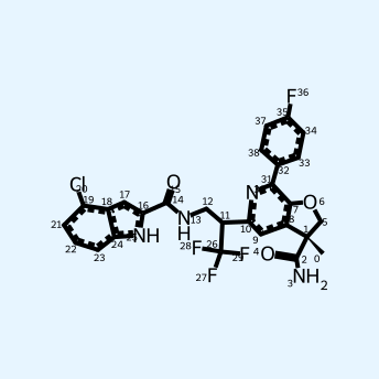 C[C@]1(C(N)=O)COc2c1cc(C(CNC(=O)c1cc3c(Cl)cccc3[nH]1)C(F)(F)F)nc2-c1ccc(F)cc1